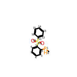 CPc1ccccc1S(=O)(=O)c1ccccc1